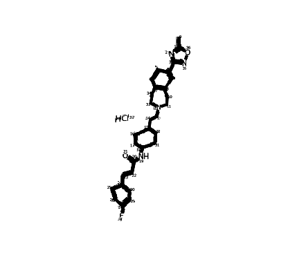 Cc1nc(-c2ccc3c(c2)CCN(CCC2CCC(NC(=O)/C=C/c4ccc(F)cc4)CC2)CC3)no1.Cl